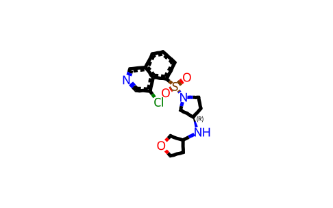 O=S(=O)(c1cccc2cncc(Cl)c12)N1CC[C@@H](NC2CCOC2)C1